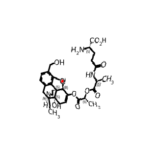 C[C@H](NC(=O)CC[C@H](N)C(=O)O)C(=O)O[C@@H](C)C(=O)OC1=CC[C@@]2(O)[C@H]3Cc4ccc(CO)c5c4[C@@]2(CCN3C)[C@H]1O5